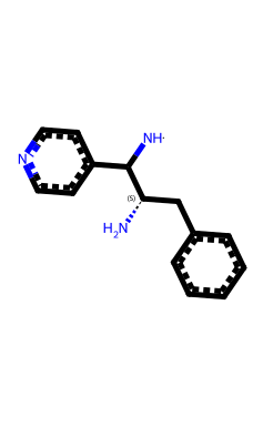 [NH]C(c1ccncc1)[C@@H](N)Cc1ccccc1